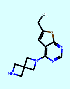 FC(F)(F)Cc1cc2c(N3CC4(CNC4)C3)ncnc2s1